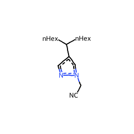 CCCCCCC(CCCCCC)c1cnn(CC#N)c1